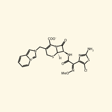 CO/N=C(\C(=O)N[C@@H]1C(=O)N2C(C(=O)[O-])=C(Cn3cc4cccc[n+]4c3)CS[C@H]12)c1nc(N)sc1Cl